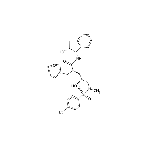 CCc1ccc(S(=O)(=O)N(C)C[C@@H](O)C[C@@H](Cc2ccccc2)C(=O)N[C@H]2c3ccccc3C[C@H]2O)cc1